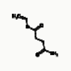 C=COC(=O)CCC(N)=O